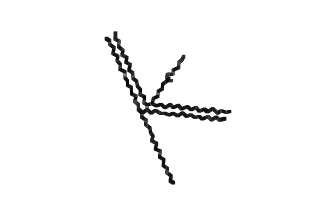 C=CCCCCCCCCCCCCCCCCC=C(CCCCCCCCCCCCCCCCC=C)C(CCCCCCCCCCCCCCCCC=C)C(CCCCCCCCCCCCCCCCC=C)C(CCCCCCCCCCCC=CCCCCC)CCCCCCCCCCCCC